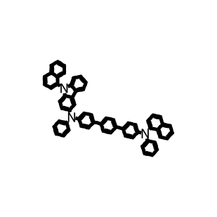 c1ccc(N(c2ccc(-c3ccc(-c4ccc(N(c5ccccc5)c5cccc6ccccc56)cc4)cc3)cc2)c2ccc3c(c2)c2ccccc2n3-c2cccc3ccccc23)cc1